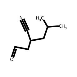 CC(C)CC(C#N)CC=O